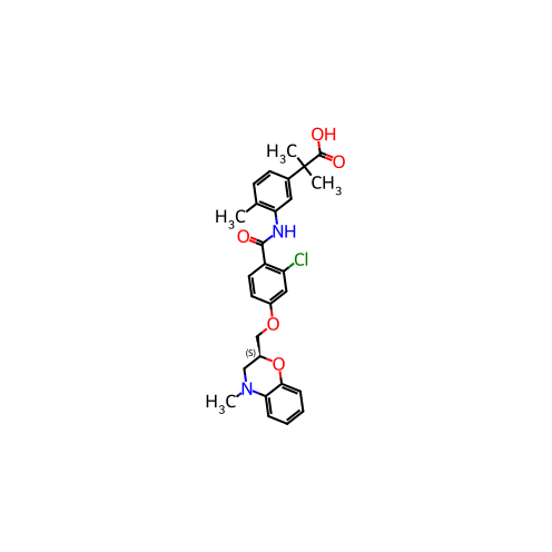 Cc1ccc(C(C)(C)C(=O)O)cc1NC(=O)c1ccc(OC[C@@H]2CN(C)c3ccccc3O2)cc1Cl